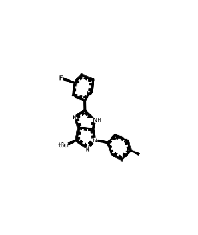 Cc1ccc(-n2nc(C(C)(C)C)c3nc(-c4cccc(F)c4)[nH]c32)cc1